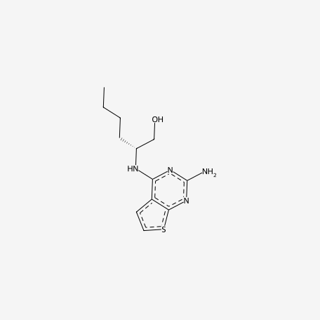 CCCC[C@H](CO)Nc1nc(N)nc2sccc12